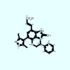 Cc1noc(C)c1-c1cc(/C=C/C(=O)O)c2[nH]c(=O)n3c2c1OC[C@@H]3c1ccccn1